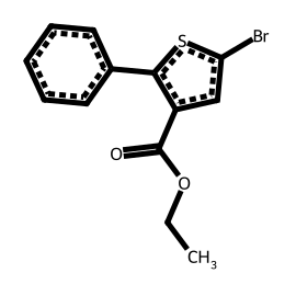 CCOC(=O)c1cc(Br)sc1-c1ccccc1